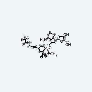 CC(C)[C@@H](OCc1cn([C@H]2C[C@@H](O)[C@@H](CO)O2)c2ncnc(N)c12)c1ccc(C#CCNC(=O)C(F)(F)F)cc1[N+](=O)[O-]